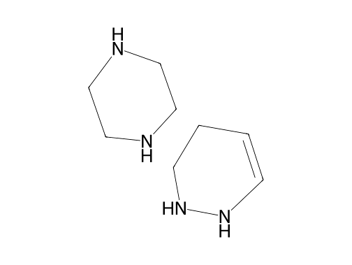 C1=CNNCC1.C1CNCCN1